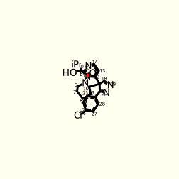 CC(C)C(O)C(=O)N1CCCCC1C1(c2ccncn2)C=NN=C1c1ccc(Cl)cc1